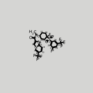 CN(C(=O)c1cn2cc(C(F)(F)F)ccc2n1)[C@H]1CC[C@@](F)(S(=O)(=O)c2cc(F)cc(C(F)(F)F)c2)CC1